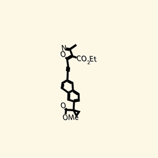 CCOC(=O)c1c(C)noc1C#Cc1ccc2cc(C3(C(=O)OC)CC3)ccc2c1